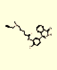 C#CCN(C)CCCCC(=O)Nc1cc(-c2n[nH]c(=O)c3ccccc23)ccc1Cl